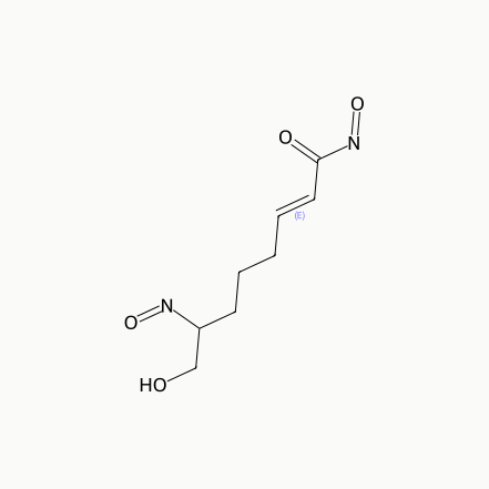 O=NC(=O)/C=C/CCCC(CO)N=O